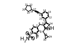 NS(=O)(=O)c1ccc(Cc2c(-c3cccc(C#CC4CCCC4)c3)c[nH]c2CC2CC2)cc1F